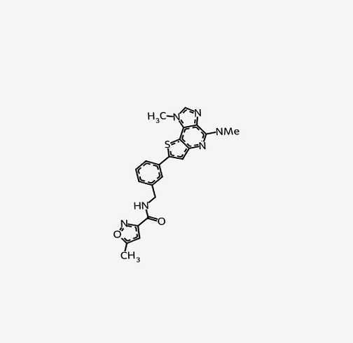 CNc1nc2cc(-c3cccc(CNC(=O)c4cc(C)on4)c3)sc2c2c1ncn2C